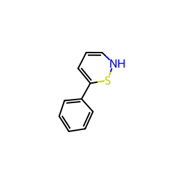 C1=CNSC(c2ccccc2)=C1